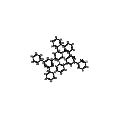 c1ccc(-c2cc(-c3ccccn3)nc(-c3cccc(-c4ccccc4-c4cccc(-c5cc(-c6ccccc6)nc(-c6ccccc6)n5)c4)n3)c2)cc1